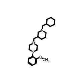 COc1ccccc1N1CCN(CC2CCCN(CC3CCCCC3)C2)CC1